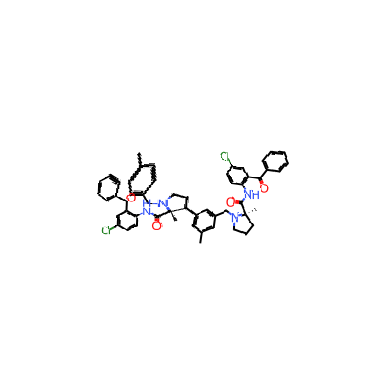 Cc1ccc(CN2CCC(c3cc(C)cc(CN4CCC[C@]4(C)C(=O)Nc4ccc(Cl)cc4C(=O)c4ccccc4)c3)[C@]2(C)C(=O)Nc2ccc(Cl)cc2C(=O)c2ccccc2)cc1